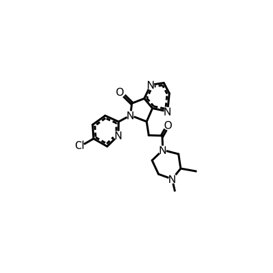 CC1CN(C(=O)CC2c3nccnc3C(=O)N2c2ccc(Cl)cn2)CCN1C